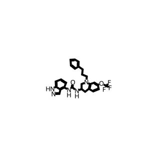 O=C(Nc1cccc2[nH]ncc12)NC1Cc2ccc(OC(F)(F)F)cc2N(CCCc2ccccc2)C1